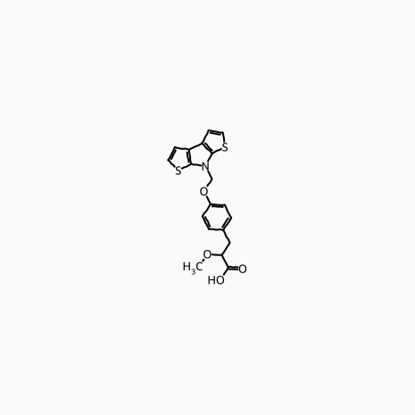 COC(Cc1ccc(OCn2c3sccc3c3ccsc32)cc1)C(=O)O